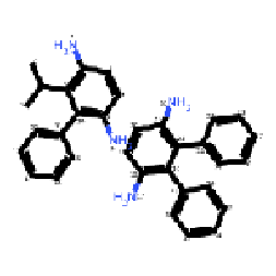 CC(C)c1c(N)ccc(N)c1-c1ccccc1.Nc1ccc(N)c(-c2ccccc2)c1-c1ccccc1